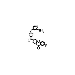 Nc1cc(CN2CCC(C(=O)N3CCC4(CC3)CC(=O)c3cc(F)ccc3O4)CC2)ccn1